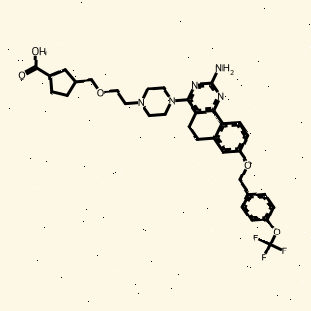 Nc1nc2c(c(N3CCN(CCOCC4CCC(C(=O)O)C4)CC3)n1)CCc1cc(OCc3ccc(OC(F)(F)F)cc3)ccc1-2